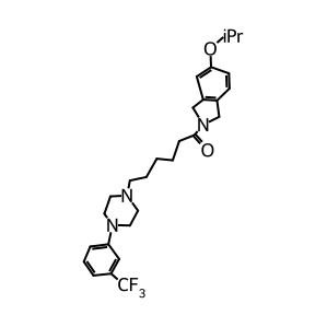 CC(C)Oc1ccc2c(c1)CN(C(=O)CCCCCN1CCN(c3cccc(C(F)(F)F)c3)CC1)C2